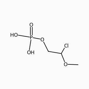 COC(Cl)COP(=O)(O)O